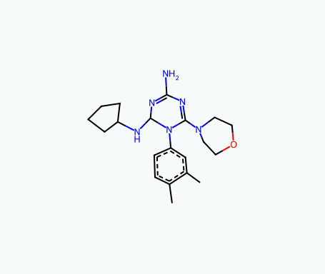 Cc1ccc(N2C(N3CCOCC3)=NC(N)=NC2NC2CCCC2)cc1C